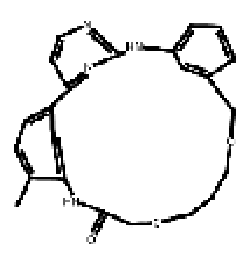 Cc1ccc2cc1NC(=O)CCCCCOCc1cccc(c1)Nc1nccc-2n1